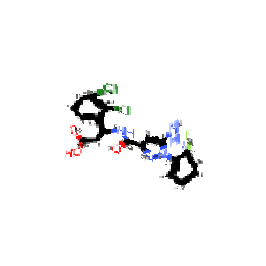 Nc1cc(C(=O)NC(CC(=O)O)c2cccc(Cl)c2Cl)nn1-c1ccccc1F